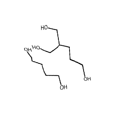 OCCCC(CO)CO.OCCCCO